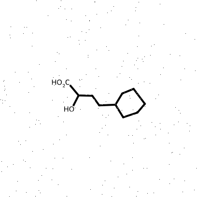 O=C(O)C(O)CCC1CCCCC1